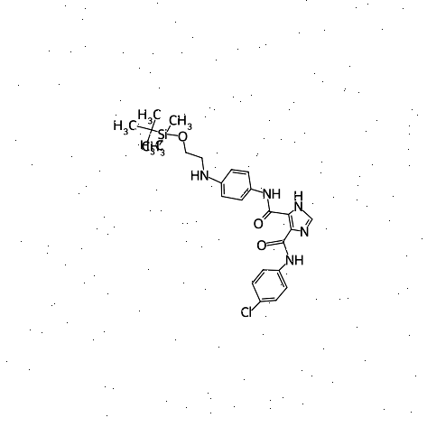 CC(C)(C)[Si](C)(C)OCCNc1ccc(NC(=O)c2[nH]cnc2C(=O)Nc2ccc(Cl)cc2)cc1